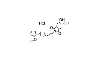 CC(C)Oc1ccccc1N1CCN(CCCN2C(=O)C3CC(O)C(O)CC3C2=O)CC1.Cl